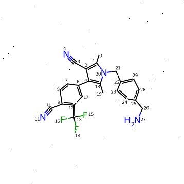 Cc1c(C#N)c(-c2ccc(C#N)c(C(F)(F)F)c2)c(C)n1Cc1ccc(CN)cc1